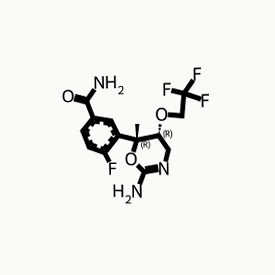 C[C@]1(c2cc(C(N)=O)ccc2F)OC(N)=NC[C@H]1OCC(F)(F)F